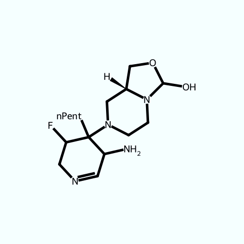 CCCCCC1(N2CCN3C(O)OC[C@H]3C2)C(N)C=NCC1F